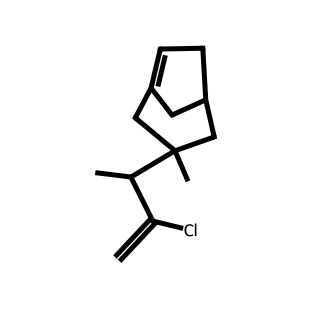 C=C(Cl)C(C)C1(C)CC2=CCC(C2)C1